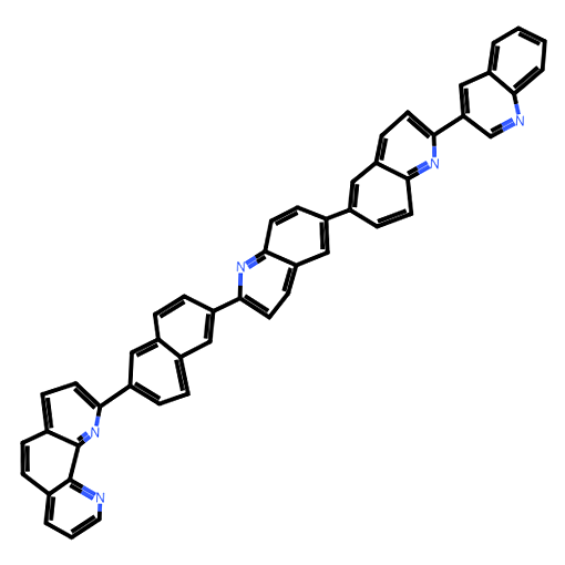 c1ccc2ncc(-c3ccc4cc(-c5ccc6nc(-c7ccc8cc(-c9ccc%10ccc%11cccnc%11c%10n9)ccc8c7)ccc6c5)ccc4n3)cc2c1